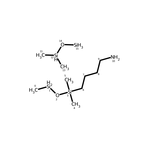 C[SiH2]O[Si](C)(C)CCCCN.C[SiH](C)O[SiH3]